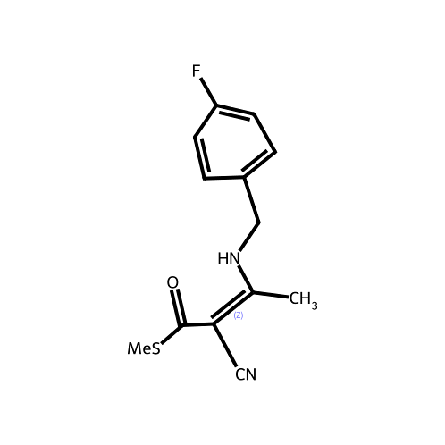 CSC(=O)/C(C#N)=C(/C)NCc1ccc(F)cc1